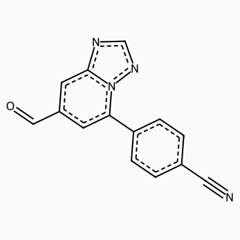 N#Cc1ccc(-c2cc(C=O)cc3ncnn23)cc1